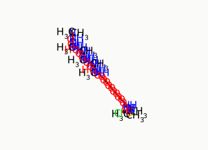 Cc1sc2c(c1C)C(c1ccc(Cl)cc1)=N[C@@H](CC(=O)NCCOCCOCCOCCOCCOCCOCCOCCOCCOCCOCCC(=O)Nc1cn(C)c(C(O)Nc3cc(C(=O)NCCC(=O)Nc4cn(C)c(C(=O)Nc5cc(C(=O)NCCC(O)Nc6cn(C)c(C(=O)NCCC(=O)NCCCN(C)C)n6)n(C)c5)n4)n(C)c3)n1)c1nnc(C)n1-2